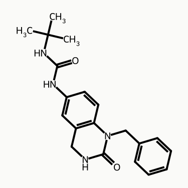 CC(C)(C)NC(=O)Nc1ccc2c(c1)CNC(=O)N2Cc1ccccc1